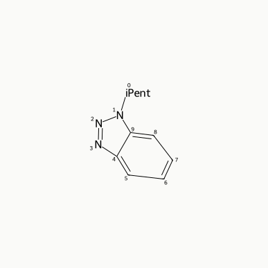 CCCC(C)n1nnc2ccccc21